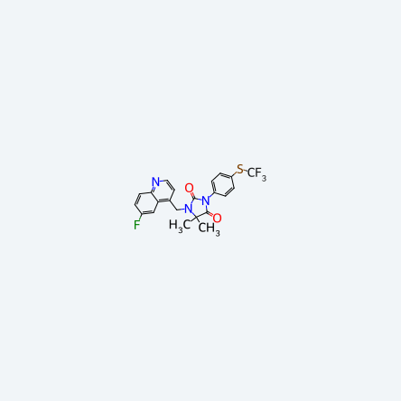 CC1(C)C(=O)N(c2ccc(SC(F)(F)F)cc2)C(=O)N1Cc1ccnc2ccc(F)cc12